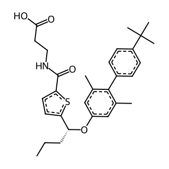 CCC[C@@H](Oc1cc(C)c(-c2ccc(C(C)(C)C)cc2)c(C)c1)c1ccc(C(=O)NCCC(=O)O)s1